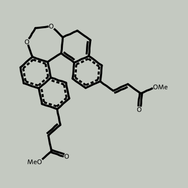 COC(=O)/C=C/c1ccc2c(c1)=CCC1OCOc3ccc4cc(/C=C/C(=O)OC)ccc4c3C=21